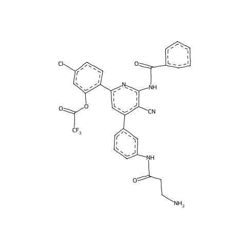 N#Cc1c(-c2cccc(NC(=O)CCN)c2)cc(-c2ccc(Cl)cc2OC(=O)C(F)(F)F)nc1NC(=O)c1ccccc1